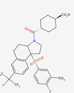 Cc1cc(S(=O)(=O)C23CCN(C(=O)[C@H]4CC[C@H](C(=O)O)CC4)C2CCc2cc(C(F)(C(F)(F)F)C(F)(F)F)ccc23)ccc1F